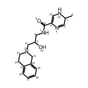 CC1C=NC(C(=O)NCC(O)CN2CCc3ccccc3C2)=CN1